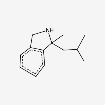 C[C](C)CC1(C)NCc2ccccc21